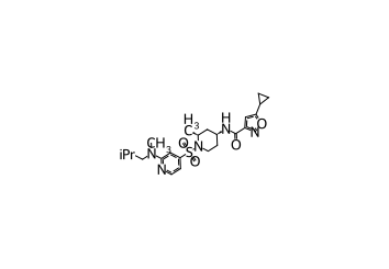 CC(C)CN(C)c1cc(S(=O)(=O)N2CC[C@H](NC(=O)c3cc(C4CC4)on3)C[C@@H]2C)ccn1